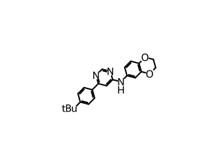 CC(C)(C)c1ccc(-c2cc(Nc3ccc4c(c3)OCCO4)ncn2)cc1